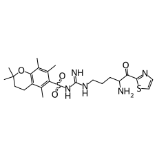 Cc1c(C)c(S(=O)(=O)NC(=N)NCCCC(N)C(=O)c2nccs2)c(C)c2c1OC(C)(C)CC2